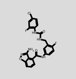 Nc1noc2cccc(C(=O)Nc3ccc(F)c(CNC(=O)Nc4ccc(Cl)cc4F)c3)c12